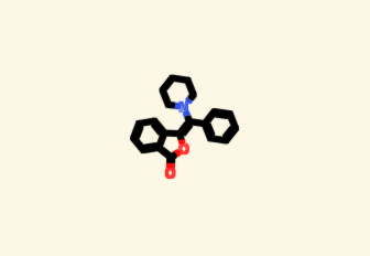 O=C1OC(=C(c2ccccc2)N2CCCCC2)c2ccccc21